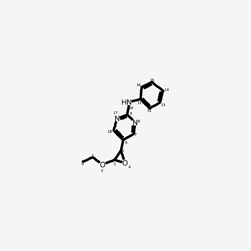 CCOC1OC1c1cnc(Nc2ccccc2)nc1